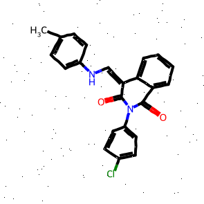 Cc1ccc(NC=C2C(=O)N(c3ccc(Cl)cc3)C(=O)c3ccccc32)cc1